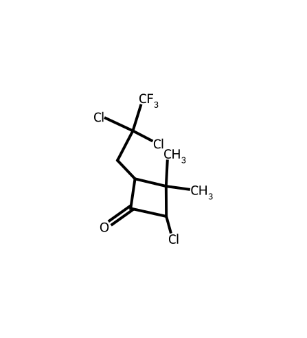 CC1(C)C(Cl)C(=O)C1CC(Cl)(Cl)C(F)(F)F